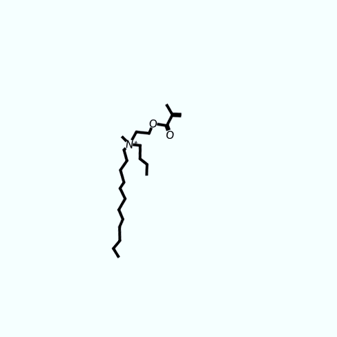 C=C(C)C(=O)OCC[N+](C)(CCCC)CCCCCCCCCCCC